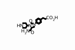 NC(=O)C1CN(c2ccc(CCC(=O)O)cc2)C(=O)N1C1CCNCC1